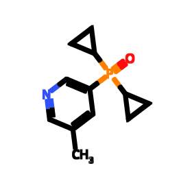 Cc1cncc(P(=O)(C2CC2)C2CC2)c1